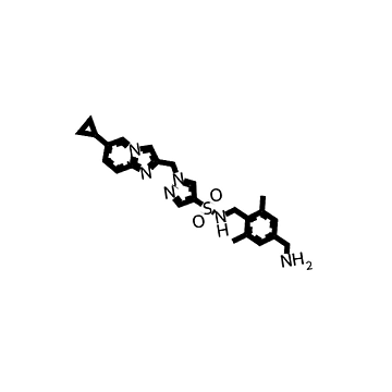 Cc1cc(CN)cc(C)c1CNS(=O)(=O)c1cnn(Cc2cn3cc(C4CC4)ccc3n2)c1